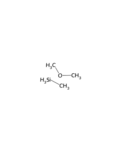 COC.C[SiH3]